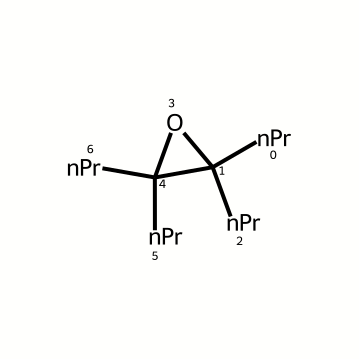 CCCC1(CCC)OC1(CCC)CCC